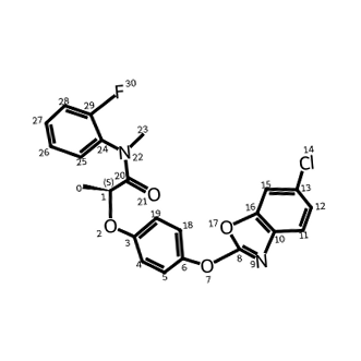 C[C@H](Oc1ccc(Oc2nc3ccc(Cl)cc3o2)cc1)C(=O)N(C)c1ccccc1F